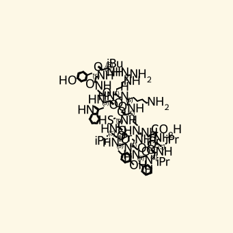 CC[C@H](C)[C@H](N)C(=O)N[C@@H](Cc1ccc(O)cc1)C(=O)NCC(=O)N[C@@H](Cc1c[nH]c2ccccc12)C(=O)N[C@@H](CCCNC(=N)N)C(=O)N[C@@H](CCCCN)C(=O)N[C@@H](CCCNC(=N)N)C(=O)N[C@@H](CS)C(=O)N[C@@H](CC(C)C)C(=O)N[C@@H](Cc1ccc(O)cc1)C(=O)N[C@@H](CC(C)C)C(=O)N[C@@H](Cc1ccccc1)C(=O)N[C@H](C(=O)N[C@@H](CC(C)C)C(=O)N[C@@H](CC(C)C)C(=O)O)C(C)C